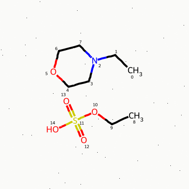 CCN1CCOCC1.CCOS(=O)(=O)O